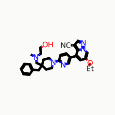 CCOc1cc(-c2ccc(N3CCC(Cc4ccccc4)(CN(C)CCO)CC3)nc2)c2c(C#N)cnn2c1